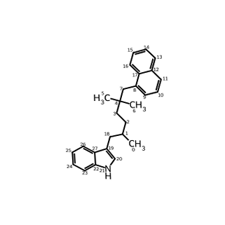 CC(CCC(C)(C)Cc1cccc2ccccc12)Cc1c[nH]c2ccccc12